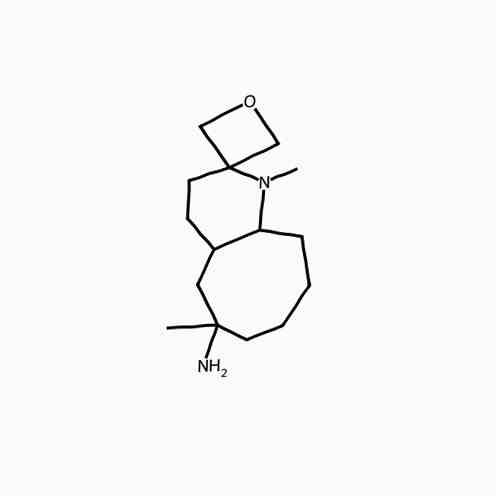 CN1C2CCCCC(C)(N)CC2CCC12COC2